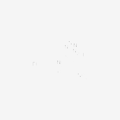 CCc1ccc(NC(=O)c2cc([N+](=O)[O-])ccc2Sc2nnnn2C)cc1